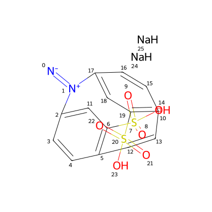 [N-]=[N+]1c2ccc(c(S(=O)(=O)O)c2)/C=C/c2ccc1cc2S(=O)(=O)O.[NaH].[NaH]